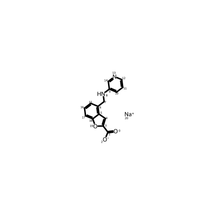 O=C([O-])c1cc2c(CNc3cccnc3)cccc2o1.[Na+]